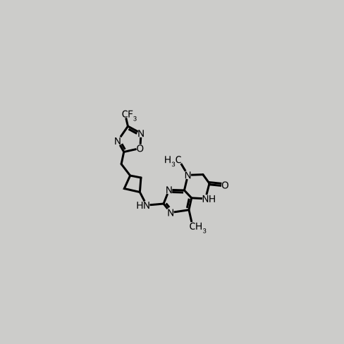 Cc1nc(NC2CC(Cc3nc(C(F)(F)F)no3)C2)nc2c1NC(=O)CN2C